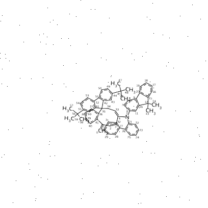 C=C1/C=C\C(N(c2ccc3c(c2)C(C)(C)c2ccccc2-3)c2ccccc2-c2ccccc2)=C/CC2(c3ccccc31)c1cc(C(C)(C)C)ccc1-c1ccc(C(C)(C)C)cc12